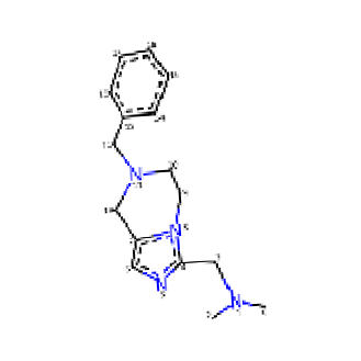 CN(C)Cc1ncc2n1CCN(Cc1ccccc1)C2